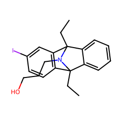 CCC12c3ccccc3C(CC)(c3cc(I)ccc31)N2CCCO